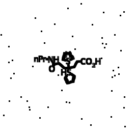 [CH2]CCNC(=O)CCC(CCC(=O)O)([SH]1C=CC=C1)[SH]1C=CC=C1